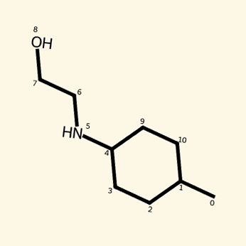 CC1CCC(NCCO)CC1